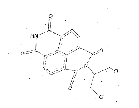 O=C1NC(=O)c2ccc3c4c(ccc1c24)C(=O)N(C(CCl)CCl)C3=O